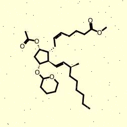 CCCCCC[C@H](C)/C=C/[C@@H]1[C@@H](C/C=C\CCCC(=O)OC)[C@@H](OC(C)=O)C[C@H]1OC1CCCCO1